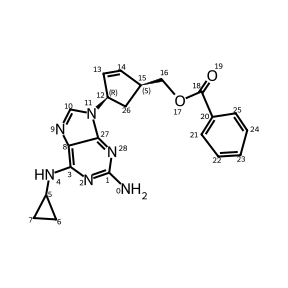 Nc1nc(NC2CC2)c2ncn([C@H]3C=C[C@@H](COC(=O)c4ccccc4)C3)c2n1